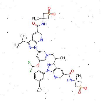 CC(C)c1nn(-c2cc(OC(F)F)c[n+](CC(C)c3nn(-c4cccc(C5CC5)c4)c4ncc(C(=O)NC5(C)CS(=O)(=O)C5)cc34)c2)c2ncc(C(=O)NC3(C)CS(=O)(=O)C3)cc12